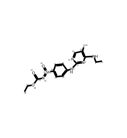 CCNc1nc(Nc2ccc(/[SH](=O)=N/C(=O)OCC)cc2)ncc1I